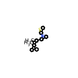 CC1(C)c2ccc(-c3ccc4c5ccccc5n(-c5ccc6sc7ccccc7c6c5)c4c3)cc2-c2cc3c(cc21)-c1ccccc1C31CCCCC1